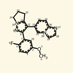 COc1ccc(F)c(-c2nn3c(c2-c2ccc4nccn4c2)CCC3)c1